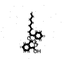 CCCCCCCC(OC(=O)c1ccccc1C(=O)O)c1ccccc1